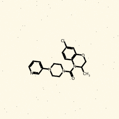 CC1COc2cc(Cl)ccc2N1C(=O)N1CCN(c2cccnc2)CC1